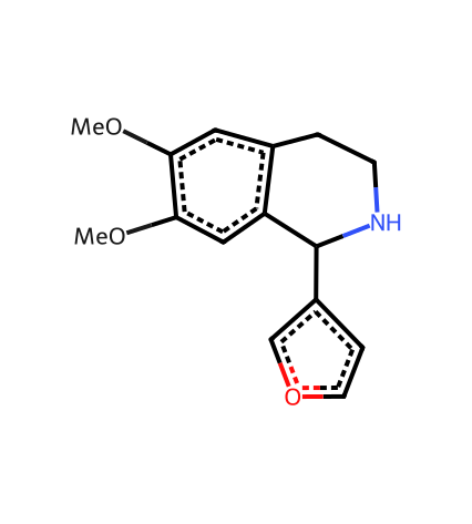 COc1cc2c(cc1OC)C(c1ccoc1)NCC2